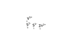 [S-2].[S-2].[V+5].[Zn+2]